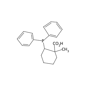 CC1(C(=O)O)CCCCC1P(c1ccccc1)c1ccccc1